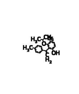 C=C(c1ccc(C)cc1)c1c(O)ccc(Br)c1OC(C)C